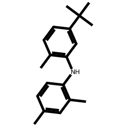 Cc1ccc(Nc2cc(C(C)(C)C)ccc2C)c(C)c1